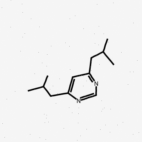 CC(C)Cc1cc(CC(C)C)ncn1